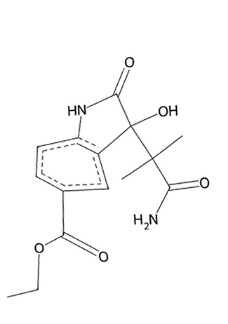 CCOC(=O)c1ccc2c(c1)C(O)(C(C)(C)C(N)=O)C(=O)N2